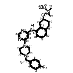 C[C@@H](c1ccc(F)cc1)N1CCN(c2cc(Nc3cccc4c3C[C@@H](O[Si](C)(C)C(C)(C)C)CC4)ncn2)CC1